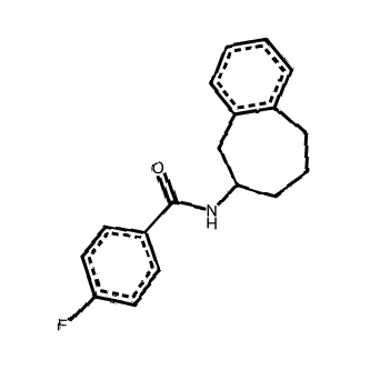 O=C(NC1CCCc2ccccc2C1)c1ccc(F)cc1